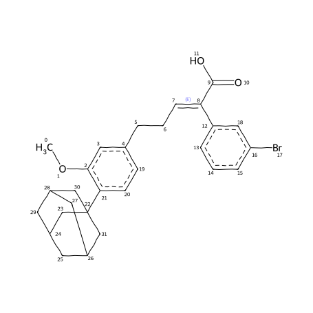 COc1cc(CC/C=C(/C(=O)O)c2cccc(Br)c2)ccc1C12CC3CC(CC(C3)C1)C2